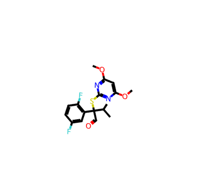 COc1cc(OC)nc(SC(C=O)(c2cc(F)ccc2F)C(C)C)n1